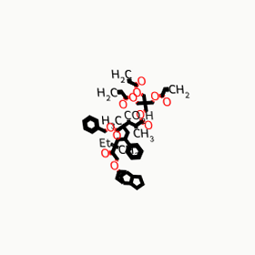 C=CC(=O)OCC(COC(=O)C=C)(COC(=O)C=C)COC(=O)C(C)C(C(=O)O)C(C)(CC(CC(C)(CC)C(=O)COC1CC2CC1C1CCCC21)c1ccccc1)C(=O)OCc1ccccc1